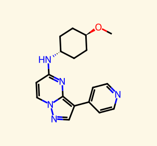 CO[C@H]1CC[C@H](Nc2ccn3ncc(-c4ccncc4)c3n2)CC1